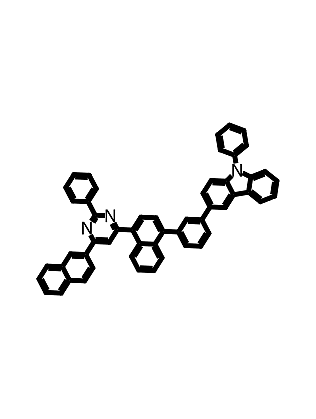 c1ccc(-c2nc(-c3ccc4ccccc4c3)cc(-c3ccc(-c4cccc(-c5ccc6c(c5)c5ccccc5n6-c5ccccc5)c4)c4ccccc34)n2)cc1